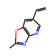 C=Cc1cnc2nc(C)oc2c1